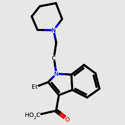 CCc1c(C(=O)C(=O)O)c2ccccc2n1CCN1CCCCC1